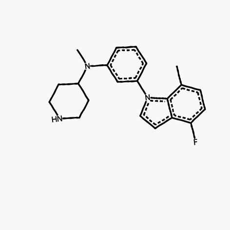 Cc1ccc(F)c2ccn(-c3cccc(N(C)C4CCNCC4)c3)c12